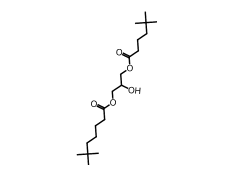 CC(C)(C)CCCCC(=O)OCC(O)COC(=O)CCCC(C)(C)C